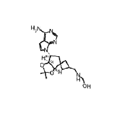 CC1(C)O[C@H]2[C@H](n3ccc4c(N)ncnc43)CC3(CC(CNCO)C3)[C@H]2O1